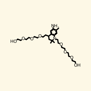 Cc1cc2c(cc1N)C(CCOCCOCCOCCO)CC(C)(C)N2CCOCCOCCOCCO